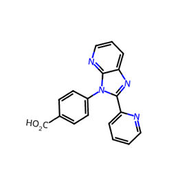 O=C(O)c1ccc(-n2c(-c3ccccn3)nc3cccnc32)cc1